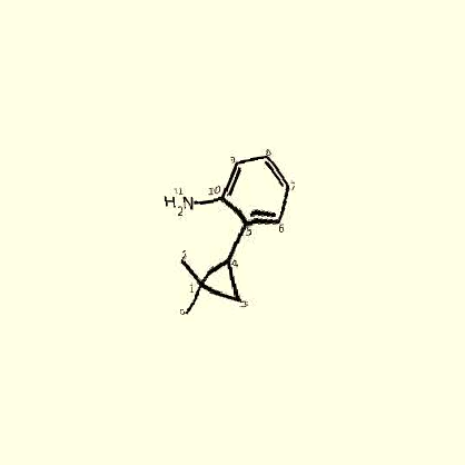 CC1(C)CC1c1ccccc1N